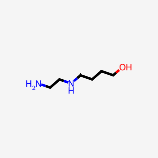 NCCN[CH]CCCO